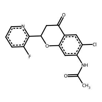 CC(=O)Nc1cc2c(cc1Cl)C(=O)CC(c1ncccc1F)O2